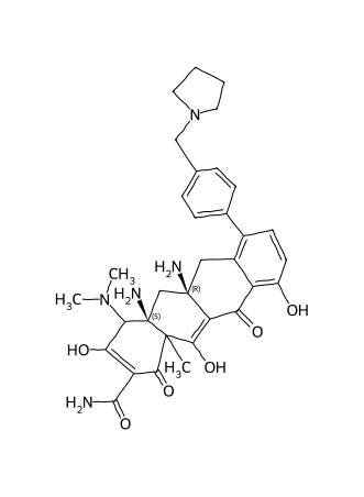 CN(C)C1C(O)=C(C(N)=O)C(=O)C2(C)C(O)=C3C(=O)c4c(O)ccc(-c5ccc(CN6CCCC6)cc5)c4C[C@@]3(N)C[C@@]12N